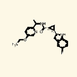 CC(NC(=O)[C@@H]1C[C@H]1c1cc2cc(F)ccc2[nH]1)c1ccc(OCC(F)(F)F)cn1